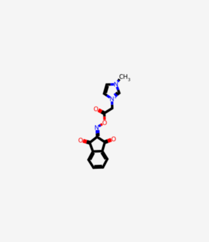 Cn1cc[n+](CC(=O)ON=c2c(=O)c3ccccc3c2=O)c1